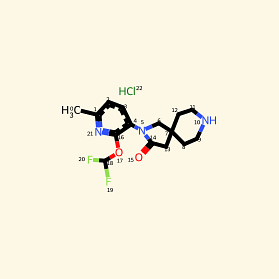 Cc1ccc(N2CC3(CCNCC3)CC2=O)c(OC(F)F)n1.Cl